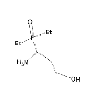 CCP(=O)(CC)C(N)CCO